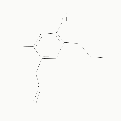 Bc1cc(C)c(OCC)cc1CN=O